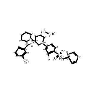 O=CO.O=S(=O)(Nc1ccncn1)c1ccc(N2CCC[C@](CCc3cccc(C(F)(F)F)c3)(N3CCCCC3)C2)cc1F